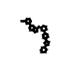 N#Cc1cccc(-c2cnc3nnn(C[C@@H]4CN(c5ncc(-c6cnn(C7CCNCC7)c6)cn5)CCO4)c3n2)c1